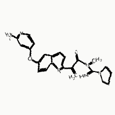 C=C(C(=O)N(C)C(=N)N1CCCC1)c1ccc2cc(Oc3ccnc(N)c3)ccc2n1